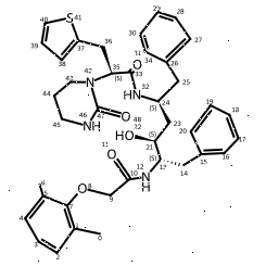 Cc1cccc(C)c1OCC(=O)N[C@@H](Cc1ccccc1)[C@@H](O)C[C@H](Cc1ccccc1)NC(=O)[C@H](Cc1cccs1)N1CCCNC1=O